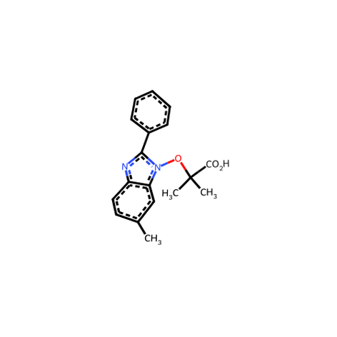 Cc1ccc2nc(-c3ccccc3)n(OC(C)(C)C(=O)O)c2c1